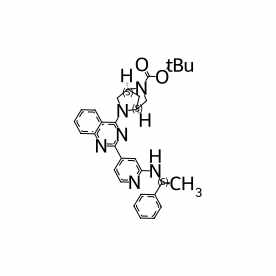 C[C@H](Nc1cc(-c2nc(N3C[C@@H]4C[C@H]3CN4C(=O)OC(C)(C)C)c3ccccc3n2)ccn1)c1ccccc1